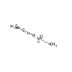 CCCCCCC(=O)NCCOCCOCCOCCNC